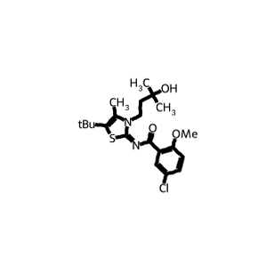 COc1ccc(Cl)cc1C(=O)N=c1sc(C(C)(C)C)c(C)n1CCC(C)(C)O